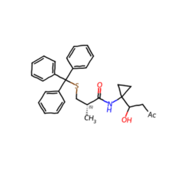 CC(=O)CC(O)C1(NC(=O)[C@H](C)CSC(c2ccccc2)(c2ccccc2)c2ccccc2)CC1